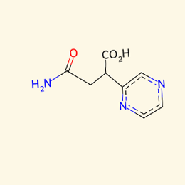 NC(=O)CC(C(=O)O)c1cnccn1